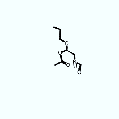 CCCO[C@@H](CNC=O)OC(C)=O